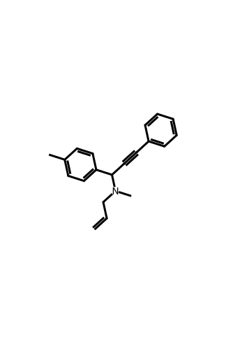 C=CCN(C)C(C#Cc1ccccc1)c1ccc(C)cc1